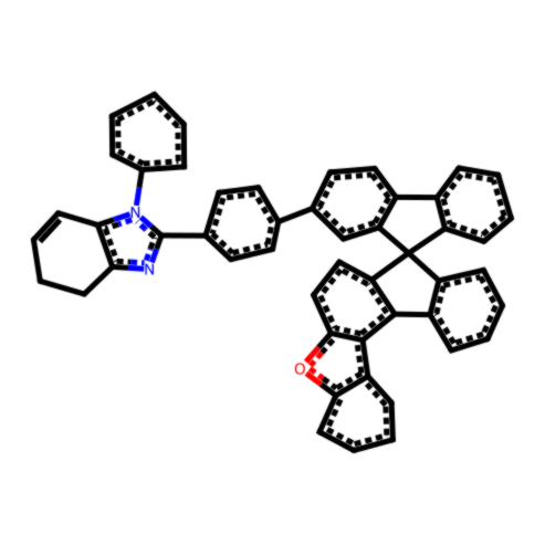 C1=Cc2c(nc(-c3ccc(-c4ccc5c(c4)C4(c6ccccc6-5)c5ccccc5-c5c4ccc4oc6ccccc6c54)cc3)n2-c2ccccc2)CC1